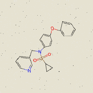 O=S(=O)(C1CC1)N(Cc1cccnc1)c1ccc(Oc2ccccc2)cc1